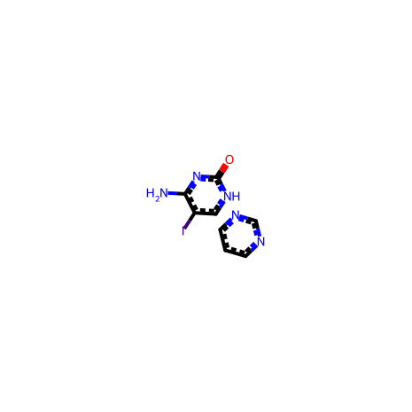 Nc1nc(=O)[nH]cc1I.c1cncnc1